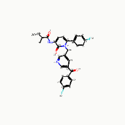 CN[C@H](C)C(=O)Nc1ccc(-c2ccc(F)cc2)n(Cc2cncc(C(=O)c3ccc(F)cc3)c2)c1=O